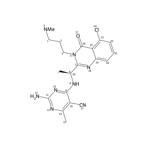 CNCCCn1c([C@H](C)Nc2nc(N)nc(C)c2C#N)nc2cccc(Cl)c2c1=O